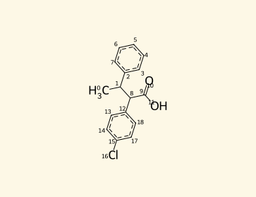 CC(c1ccccc1)C(C(=O)O)c1ccc(Cl)cc1